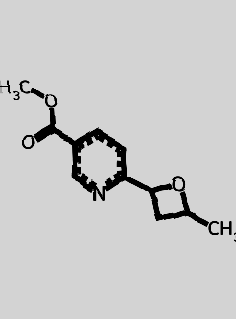 COC(=O)c1ccc(C2CC(C)O2)nc1